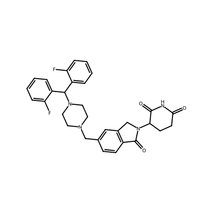 O=C1CCC(N2Cc3cc(CN4CCN(C(c5ccccc5F)c5ccccc5F)CC4)ccc3C2=O)C(=O)N1